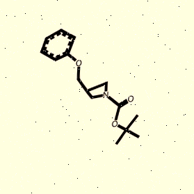 CC(C)(C)OC(=O)N1CC(COc2ccccc2)C1